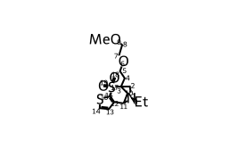 CCN1CC2(CCOCCOC)CC1c1ccsc1S2(=O)=O